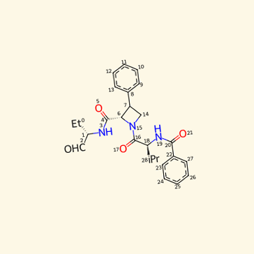 CC[C@@H](C=O)NC(=O)[C@@H]1C(c2ccccc2)CN1C(=O)[C@@H](NC(=O)c1ccccc1)C(C)C